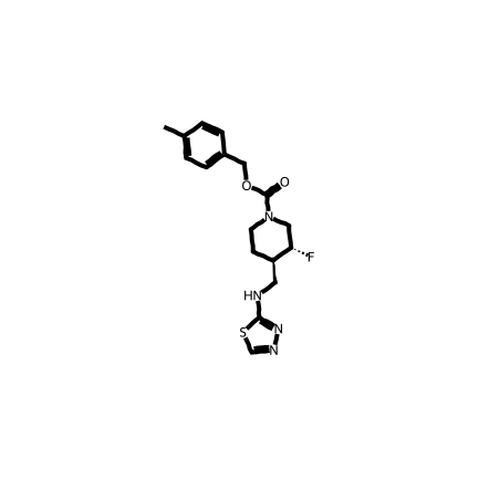 Cc1ccc(COC(=O)N2CC[C@H](CNc3nncs3)[C@@H](F)C2)cc1